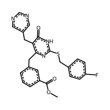 COC(=O)c1cccc(Cc2nc(SCc3ccc(F)cc3)[nH]c(=O)c2Cc2cncnc2)c1